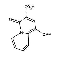 COc1cc(C(=O)O)c(=O)n2ccccc12